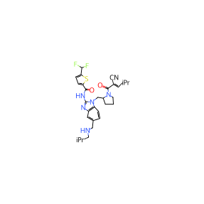 CC(C)C=C(C#N)C(=O)N1CCCC1Cn1c(NC(=O)c2ccc(C(F)F)s2)nc2cc(CNCC(C)C)ccc21